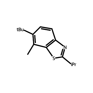 Cc1c(C(C)(C)C)ccc2nc(C(C)C)sc12